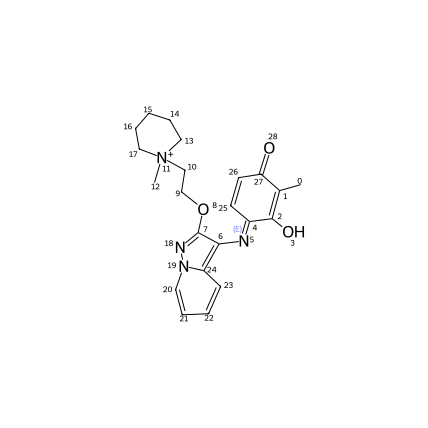 CC1=C(O)/C(=N/c2c(OCC[N+]3(C)CCCCC3)nn3ccccc23)C=CC1=O